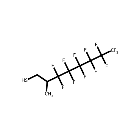 CC(CS)C(F)(F)C(F)(F)C(F)(F)C(F)(F)C(F)(F)C(F)(F)F